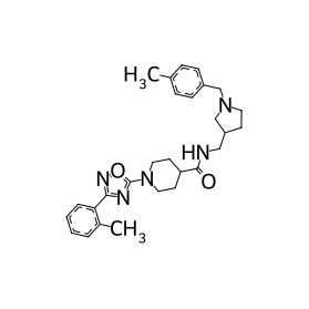 Cc1ccc(CN2CCC(CNC(=O)C3CCN(c4nc(-c5ccccc5C)no4)CC3)C2)cc1